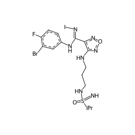 CC(C)S(=N)(=O)NCCCNc1nonc1/C(=N/I)Nc1ccc(F)c(Br)c1